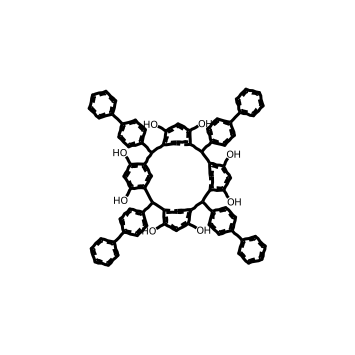 Oc1cc(O)c2cc1C(c1ccc(-c3ccccc3)cc1)c1cc(c(O)cc1O)C(c1ccc(-c3ccccc3)cc1)c1cc(c(O)cc1O)C(c1ccc(-c3ccccc3)cc1)c1cc(c(O)cc1O)C2c1ccc(-c2ccccc2)cc1